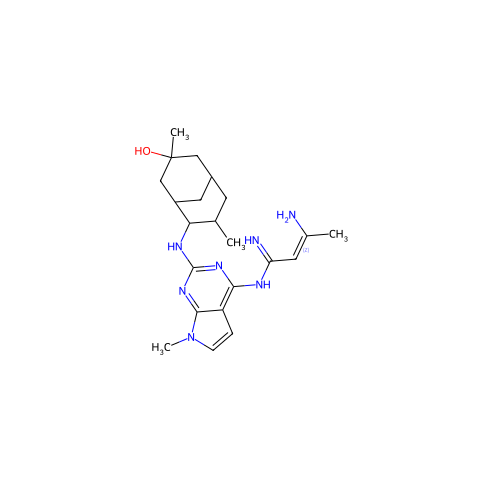 C/C(N)=C/C(=N)Nc1nc(NC2C(C)CC3CC2CC(C)(O)C3)nc2c1ccn2C